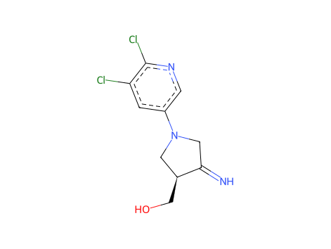 N=C1CN(c2cnc(Cl)c(Cl)c2)C[C@@H]1CO